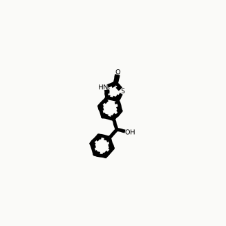 O=c1[nH]c2ccc(C(O)c3ccccc3)cc2s1